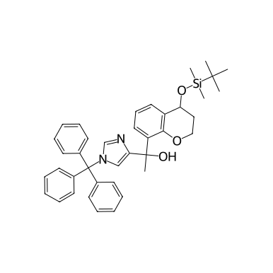 CC(O)(c1cn(C(c2ccccc2)(c2ccccc2)c2ccccc2)cn1)c1cccc2c1OCCC2O[Si](C)(C)C(C)(C)C